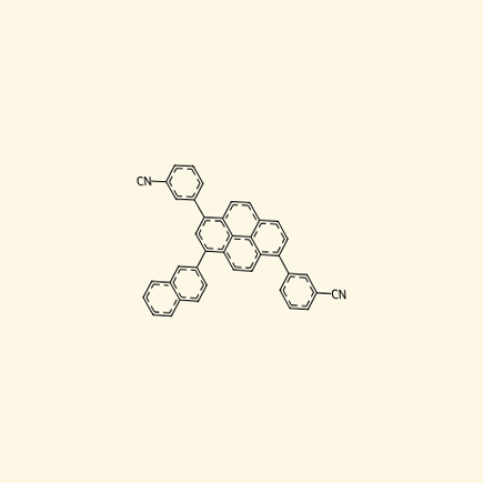 [C-]#[N+]c1cccc(-c2cc(-c3ccc4ccccc4c3)c3ccc4c(-c5cccc(C#N)c5)ccc5ccc2c3c54)c1